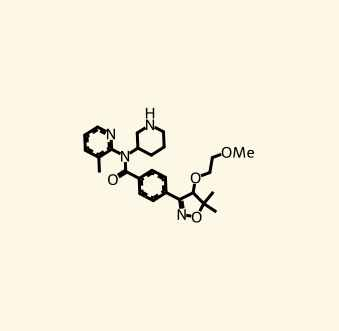 COCCOC1C(c2ccc(C(=O)N(c3ncccc3C)C3CCCNC3)cc2)=NOC1(C)C